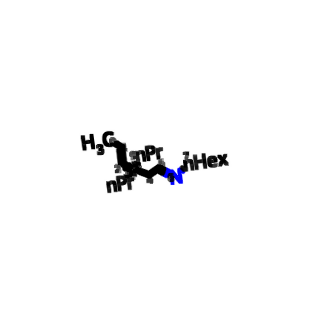 CC=C[Si](CC=NCCCCCC)(CCC)CCC